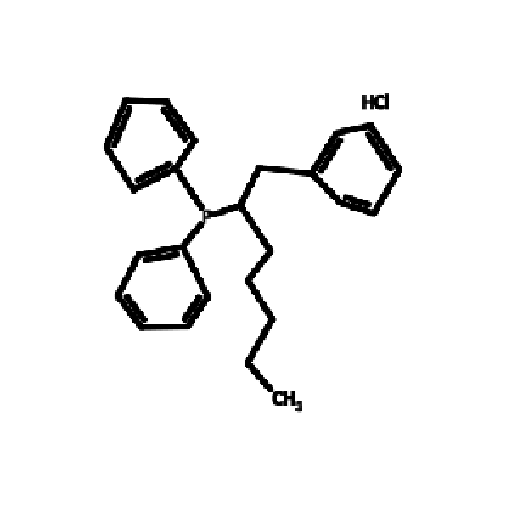 CCCCCC(Cc1ccccc1)P(c1ccccc1)c1ccccc1.Cl